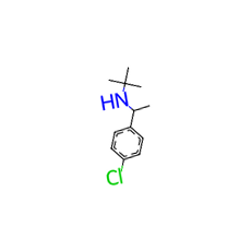 CC(NC(C)(C)C)c1ccc(Cl)cc1